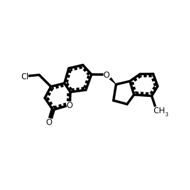 Cc1cccc2c1CC[C@H]2Oc1ccc2c(CCl)cc(=O)oc2c1